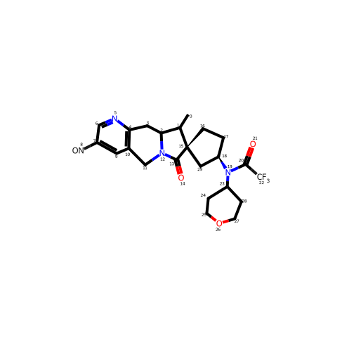 CC1C2Cc3ncc(N=O)cc3CN2C(=O)[C@]12CC[C@@H](N(C(=O)C(F)(F)F)C1CCOCC1)C2